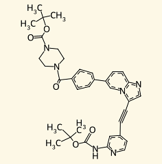 CC(C)(C)OC(=O)Nc1cc(C#Cc2cnc3ccc(-c4ccc(C(=O)N5CCN(C(=O)OC(C)(C)C)CC5)cc4)cn23)ccn1